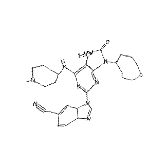 CN1CCC(Nc2nc(N3C=NC4C=CC(C#N)=CC43)nc3c2[nH]c(=O)n3C2CCOCC2)CC1